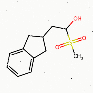 CS(=O)(=O)C(O)CC1Cc2ccccc2C1